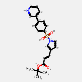 CC(C)(C)OC(=O)C=Cc1ccn(S(=O)(=O)c2ccc(-c3cccnc3)cc2)c1